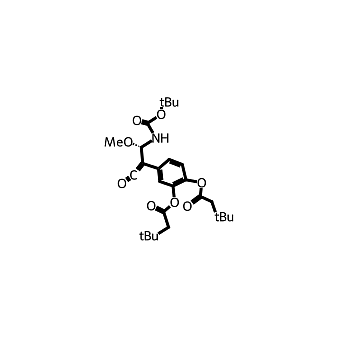 CO[C@H](NC(=O)OC(C)(C)C)C(=C=O)c1ccc(OC(=O)CC(C)(C)C)c(OC(=O)CC(C)(C)C)c1